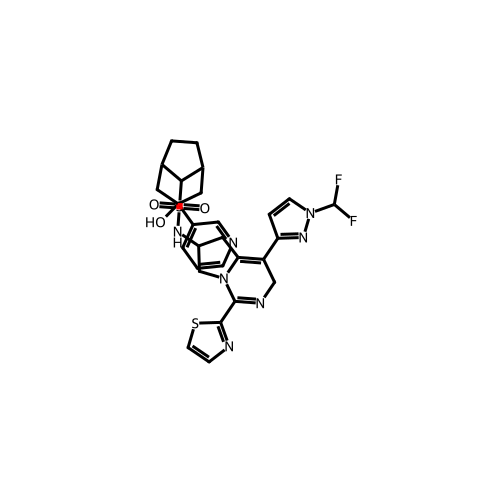 O=S(=O)(NC1CC2=C(c3ccn(C(F)F)n3)CN=C(c3nccs3)N2C1)C1C2CCC1CC(O)(c1cccnc1)C2